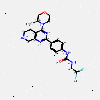 C[C@H]1COCCN1c1nc(-c2ccc(NC(=O)NCC(F)F)cc2)nc2c1CCNC2